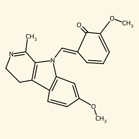 COC1=CC=C/C(=C\n2c3c(c4ccc(OC)cc42)CCN=C3C)C1=O